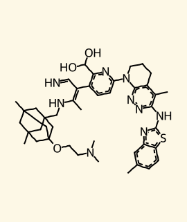 C/C(NCC12CC3(C)CC(C)(C1)CC(OCCN(C)C)(C3)C2)=C(/C=N)c1ccc(N2CCCc3c2nnc(Nc2nc4cc(C)ccc4s2)c3C)nc1C(O)O